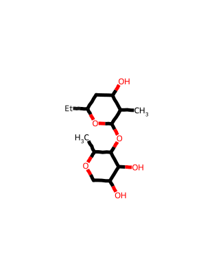 CCC1CC(O)C(C)C(OC2C(C)OCC(O)C2O)O1